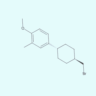 COc1ccc([C@H]2CC[C@H](CBr)CC2)cc1C